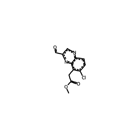 COC(=O)Cc1c(Cl)ccc2ncc(C=O)nc12